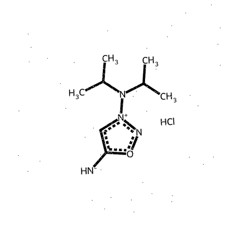 CC(C)N(C(C)C)[n+]1cc([NH-])on1.Cl